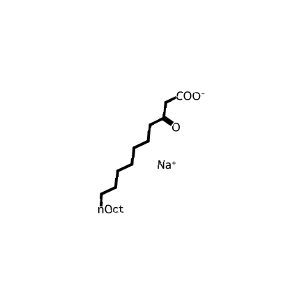 CCCCCCCCCCCCCCCC(=O)CC(=O)[O-].[Na+]